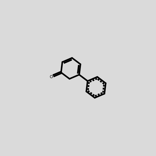 O=C1C=CC=C(c2ccccc2)C1